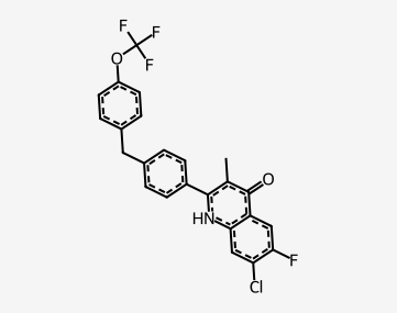 Cc1c(-c2ccc(Cc3ccc(OC(F)(F)F)cc3)cc2)[nH]c2cc(Cl)c(F)cc2c1=O